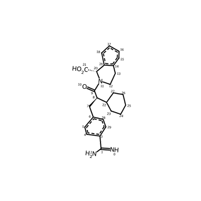 N=C(N)c1ccc(C[C@@H](C(=O)N2CCc3ccccc3[C@H]2C(=O)O)C2CCCCC2)cc1